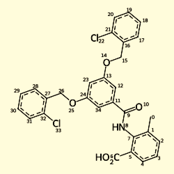 Cc1cccc(C(=O)O)c1NC(=O)c1cc(OCc2ccccc2Cl)cc(OCc2ccccc2Cl)c1